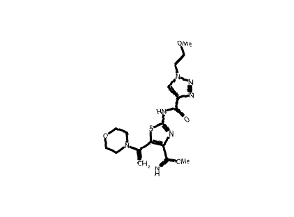 C=C(c1sc(NC(=O)c2cn(CCOC)nn2)nc1C(=N)OC)N1CCOCC1